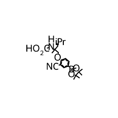 CC(C)CC(C)(COc1ccc(B2OC(C)(C)C(C)(C)O2)cc1C#N)NC(=O)O